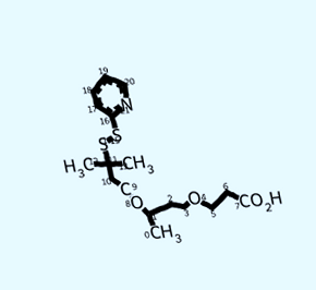 CC(CCOCCC(=O)O)OCCC(C)(C)SSc1ccccn1